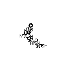 CN(c1c(C#N)cnc2c1ccn2S(=O)(=O)c1ccccc1)C1C[C@@H]2CN(C(=O)Nc3nc(CO)ns3)C[C@@H]2C1